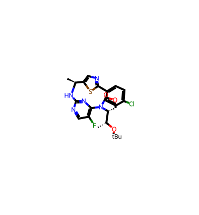 C[C@H](Nc1ncc(F)c(N2C(=O)OC[C@@H]2[C@@H](C)OC(C)(C)C)n1)c1cnc(-c2ccc(Cl)cc2)s1